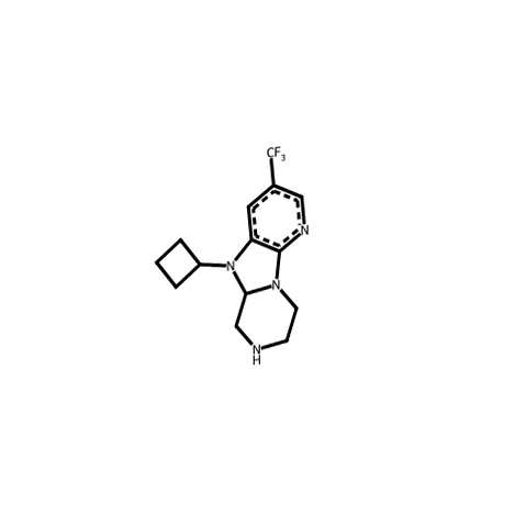 FC(F)(F)c1cnc2c(c1)N(C1CCC1)C1CNCCN21